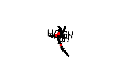 CCCCCCCCCCCCCCC(CCCCC)C(O)(C(O)=S)C(C(O)=S)N(CCCC)CCCC